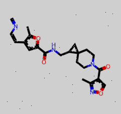 C=N/C=C\c1cc(C(=O)NCC2CC23CCN(C(=O)c2conc2C)CC3)oc1C